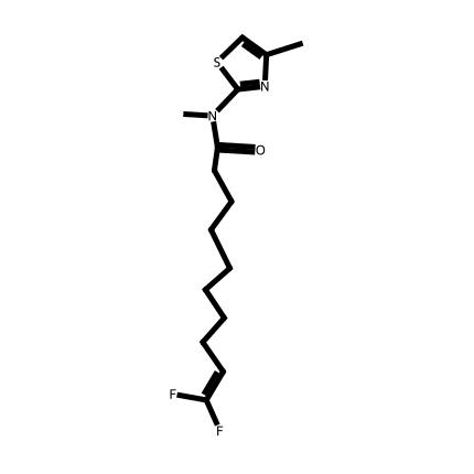 Cc1csc(N(C)C(=O)CCCCCCCC=C(F)F)n1